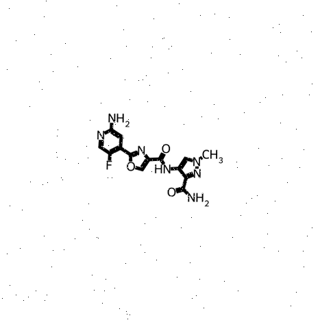 Cn1cc(NC(=O)c2coc(-c3cc(N)ncc3F)n2)c(C(N)=O)n1